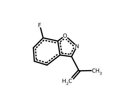 C=C(C)c1noc2c(F)cccc12